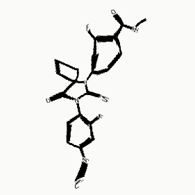 [C-]#[N+]c1ccc(N2C(=O)C3(CCC3)N(c3ccc(C(=O)NC)c(F)c3)C2=S)c(F)c1